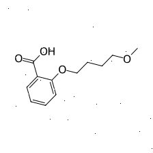 COCCCCOc1ccccc1C(=O)O